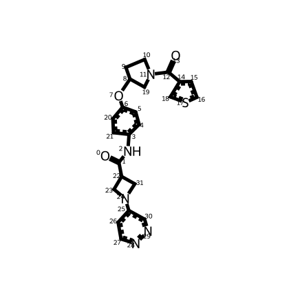 O=C(Nc1ccc(OC2CCN(C(=O)c3ccsc3)C2)cc1)C1CN(c2ccnnc2)C1